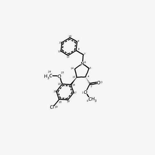 COC(=O)[C@H]1CN(Cc2ccccc2)C[C@@H]1c1ccc(Cl)cc1OC